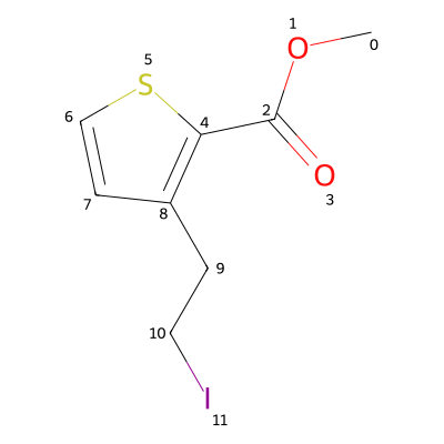 COC(=O)c1sccc1CCI